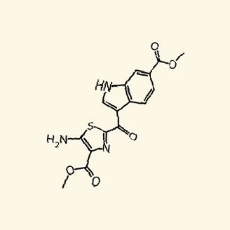 COC(=O)c1ccc2c(C(=O)c3nc(C(=O)OC)c(N)s3)c[nH]c2c1